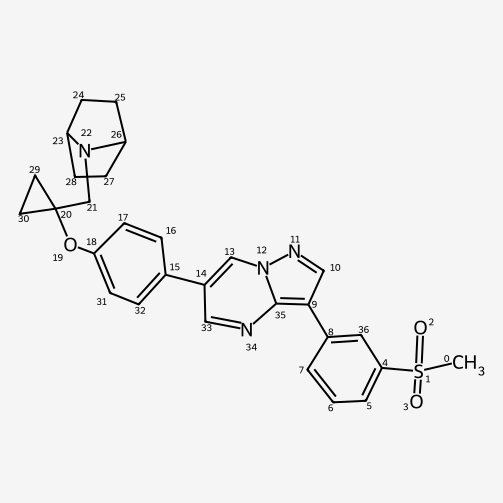 CS(=O)(=O)c1cccc(-c2cnn3cc(-c4ccc(OC5(CN6C7CCC6CC7)CC5)cc4)cnc23)c1